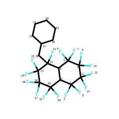 FC1(F)C2C(C(F)(F)C(F)(F)C1(F)F)C(F)(CC1CCCCC1)C(F)(F)C(F)(F)C2(F)F